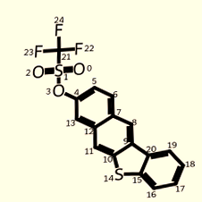 O=S(=O)(Oc1ccc2cc3c(cc2c1)sc1ccccc13)C(F)(F)F